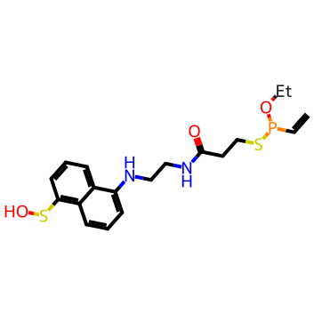 C=CP(OCC)SCCC(=O)NCCNc1cccc2c(SO)cccc12